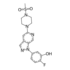 CS(=O)(=O)N1CCN(c2cc3cnn(-c4ccc(F)c(O)c4)c3cn2)CC1